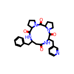 O=C1CC(Cc2ccccc2)NC(=O)C2CCCN2C(=O)C2CCCN2C(=O)C(Cc2cccnc2)N1